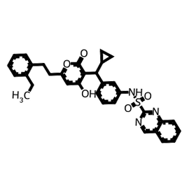 CCc1ccccc1CCc1cc(O)c(C(c2cccc(NS(=O)(=O)c3ncc4ccccc4n3)c2)C2CC2)c(=O)o1